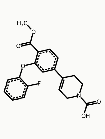 COC(=O)c1ccc(C2=CCN(C(=O)O)CC2)cc1Oc1ccccc1F